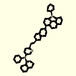 C(=C\c1ccc(N(c2ccccc2)c2cccc3ccccc23)cn1)/c1ccc2cc(-c3ccc4c5c3ccc3cccc(c35)n4-c3ccccc3)ccc2c1